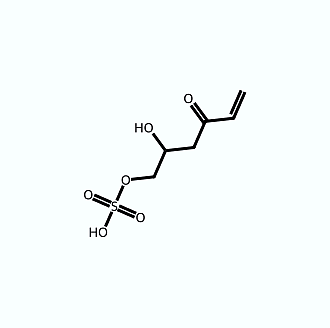 C=CC(=O)CC(O)COS(=O)(=O)O